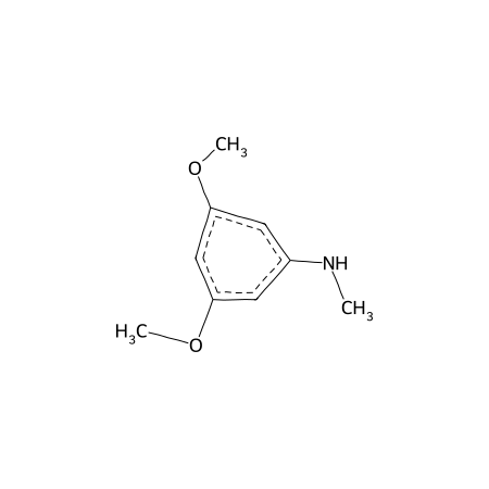 CNc1cc(OC)cc(OC)c1